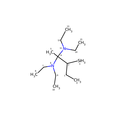 CCC([SiH3])C(C)(N(CC)CC)N(CC)CC